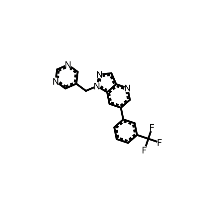 FC(F)(F)c1cccc(-c2cnc3cnn(Cc4cncnc4)c3c2)c1